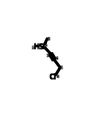 C[SiH](C)C#CCCl